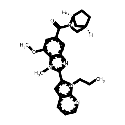 CCCn1c(-c2nc3cc(C(=O)N4C[C@@H]5CC[C@H]4C5)cc(OC)c3n2C)cc2cccnc21